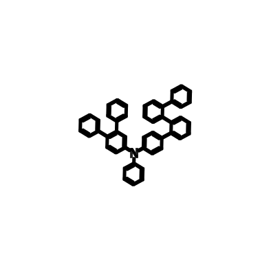 c1ccc(-c2ccc(N(c3ccccc3)c3ccc(-c4ccccc4-c4ccccc4-c4ccccc4)cc3)cc2-c2ccccc2)cc1